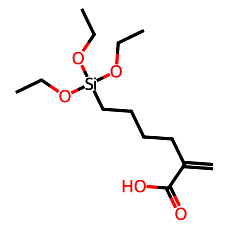 C=C(CCCC[Si](OCC)(OCC)OCC)C(=O)O